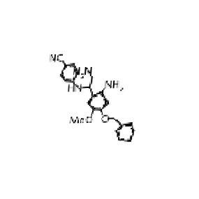 COc1cc(C(CN)Nc2ccc(C#N)cc2)c(N)cc1OCc1ccccc1